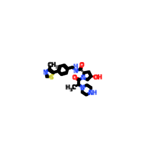 Cc1ncsc1-c1ccc(CNC(=O)[C@@H]2C[C@@H](O)CN2C(=O)[C@H](C)N2CCNCC2)cc1